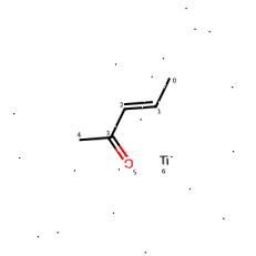 CC=CC(C)=O.[Ti]